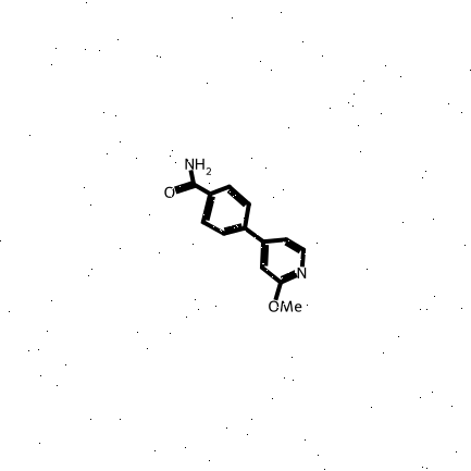 COc1cc(-c2ccc(C(N)=O)cc2)ccn1